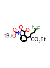 CCOC(=O)C(CCC(F)F)c1cccc2c1C(=O)C(=O)N2C(=O)OC(C)(C)C